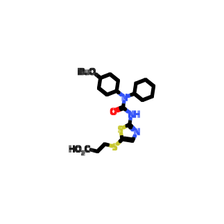 CC(C)COC1CCC(N(C(=O)Nc2ncc(SCCC(=O)O)s2)C2CCCCC2)CC1